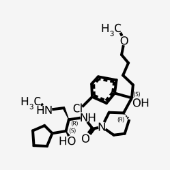 CNC[C@@H](NC(=O)N1CCC[C@@H]([C@@](O)(CCCCOC)c2cccc(Cl)c2)C1)[C@@H](O)C1CCCC1